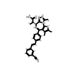 Cc1sc2c(c1C)C(c1ccc(C=Cc3cccc(C#N)c3)cc1)=N[C@@H](C(C)C(=O)O)c1nnc(C)n1-2